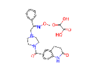 CON=C(CN1CCN(C(=O)c2ccc3c(c2)CCC(=O)N3)CC1)c1ccccc1.O=C(O)C(=O)O